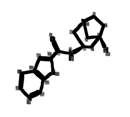 O=C(N[C@@H]1C[C@H]2CCN(C2)C1)c1cc2ccncc2s1